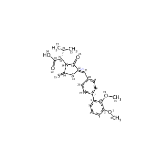 COc1cccc(-c2ccc(/C=C3\SC(=S)N([C@H](C(=O)O)C(C)C)C3=O)cn2)c1OC